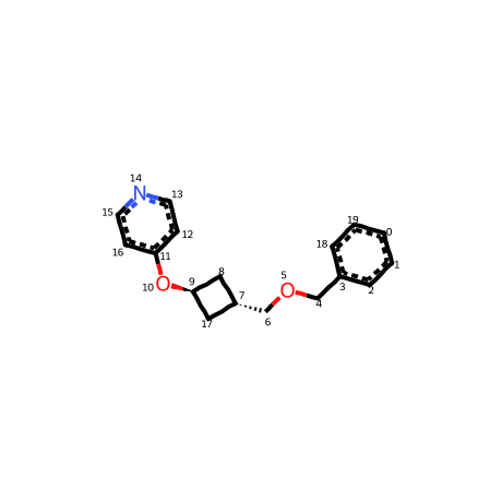 c1ccc(COC[C@H]2C[C@H](Oc3ccncc3)C2)cc1